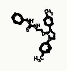 Cc1ccc(N2CCN(c3ccc(C)cc3)P2OCCNC(=S)Nc2ccccc2)cc1